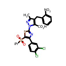 Cc1nn(-c2nc(-c3ccc(Cl)c(Cl)c3)c(S(=O)(=O)C(C)C)s2)c(C(=O)O)c1Cc1ccccc1[N+](=O)[O-]